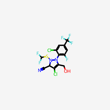 N#CC1C(Cl)=C(CO)N(c2c(F)cc(C(F)(F)F)cc2Cl)N1SC(F)F